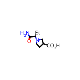 CCC(C(N)=O)N1CCC(C(=O)O)C1